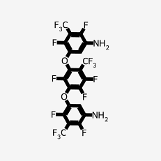 Nc1cc(Oc2c(F)c(F)c(C(F)(F)F)c(Oc3cc(N)c(F)c(C(F)(F)F)c3F)c2F)c(F)c(C(F)(F)F)c1F